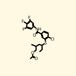 CCC(CC(C)COC(C)=O)Sc1cc(C(=O)Nc2cc(F)c(F)c(F)c2)ccc1Cl